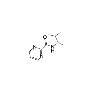 CC(C)C(C)NC(=O)c1ncccn1